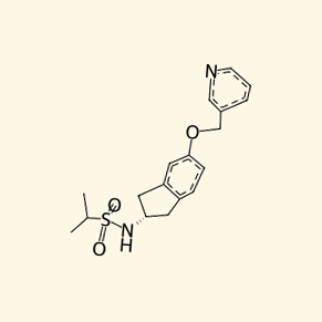 CC(C)S(=O)(=O)N[C@H]1Cc2ccc(OCc3cccnc3)cc2C1